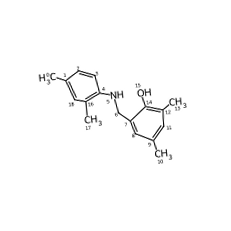 Cc1ccc(NCc2cc(C)cc(C)c2O)c(C)c1